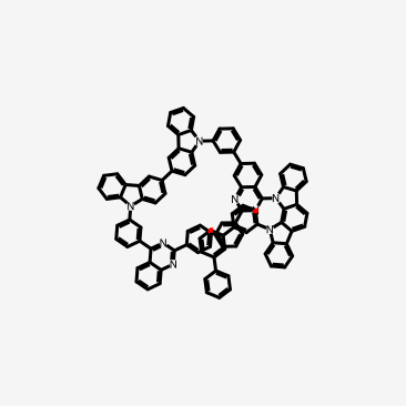 c1ccc(-c2cccc(-c3cccc(-n4c5ccccc5c5ccc6c7ccccc7n(-c7nc(-c8ccccc8)nc8cc(-c9cccc(-n%10c%11ccccc%11c%11cc(-c%12ccc%13c(c%12)c%12ccccc%12n%13-c%12cccc(-c%13nc(-c%14ccccc%14)nc%14ccccc%13%14)c%12)ccc%11%10)c9)ccc78)c6c54)c3)c2)cc1